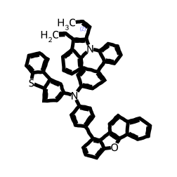 C=Cc1c(/C=C\C)n(-c2ccccc2-c2ccc(N(c3ccc(-c4cccc5oc6c7ccccc7ccc6c45)cc3)c3ccc4sc5ccccc5c4c3)cc2)c2ccccc12